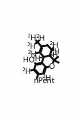 [2H]C1=C(C([2H])([2H])[2H])CC([2H])([2H])[C@@]2([2H])C(C)(C)Oc3c([2H])c(CCCCC)c([2H])c(O)c3[C@]12[2H]